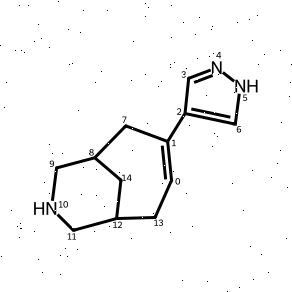 C1=C(c2cn[nH]c2)CC2CNCC(C1)C2